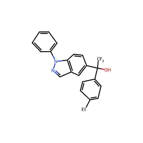 CCc1ccc(C(O)(c2ccc3c(cnn3-c3ccccc3)c2)C(F)(F)F)cc1